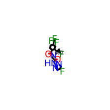 O=C(CN1C[C@]2(C[C@H]2F)c2cc(C(F)(F)F)ccc2C1=O)Nc1ncc(F)cn1